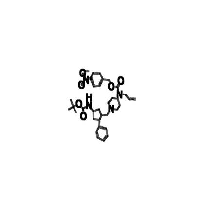 C=CCN(C(=O)OCc1ccc([N+](=O)[O-])cc1)C1CCN(CC2CC(NC(=O)OC(C)(C)C)CC2c2ccccc2)CC1